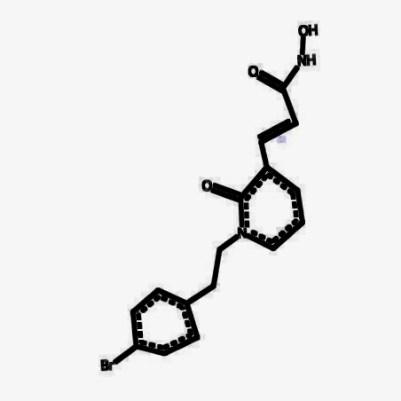 O=C(/C=C/c1cccn(CCc2ccc(Br)cc2)c1=O)NO